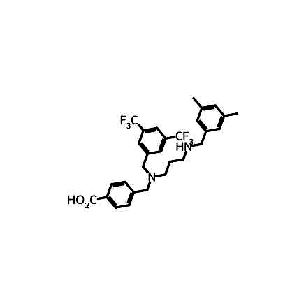 Cc1cc(C)cc(CNCCCN(Cc2ccc(C(=O)O)cc2)Cc2cc(C(F)(F)F)cc(C(F)(F)F)c2)c1